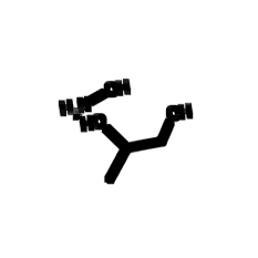 CC(O)CO.NO